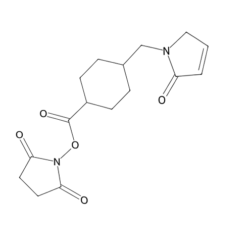 O=C(ON1C(=O)CCC1=O)C1CCC(CN2CC=CC2=O)CC1